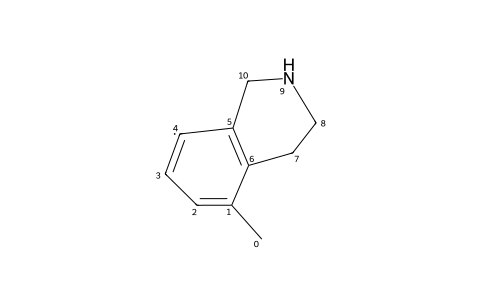 Cc1cc[c]c2c1CCNC2